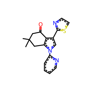 CC1(C)CC(=O)c2c(-c3nccs3)cn(-c3ccccn3)c2C1